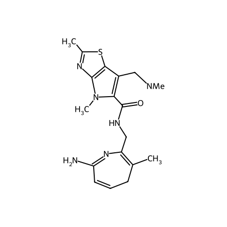 CNCc1c(C(=O)NCC2=C(C)CC=CC(N)=N2)n(C)c2nc(C)sc12